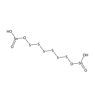 [O]=[Sn]([OH])[O]SSSSSS[O][Sn](=[O])[OH]